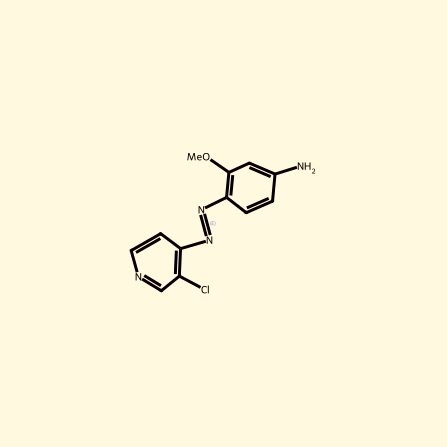 COc1cc(N)ccc1/N=N/c1ccncc1Cl